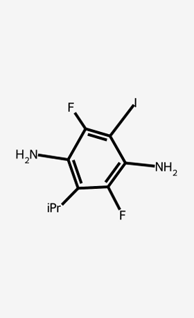 CC(C)c1c(N)c(F)c(I)c(N)c1F